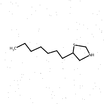 CCCCCCCC1CNCS1